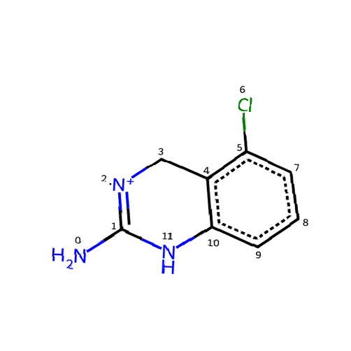 NC1=[N+]Cc2c(Cl)cccc2N1